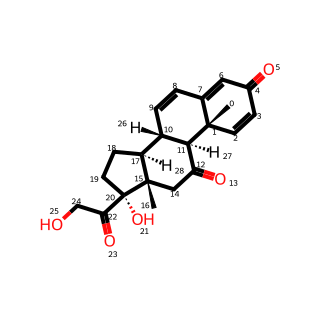 C[C@]12C=CC(=O)C=C1C=C[C@@H]1[C@@H]2C(=O)C[C@@]2(C)[C@H]1CC[C@]2(O)C(=O)CO